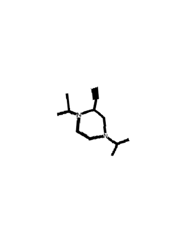 C#CC1CN(C(C)C)CCN1C(C)C